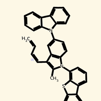 C=C/C=C\c1c(C)n(-c2cccc3c2sc2ccccc23)c2ccc(-n3c4ccccc4c4ccccc43)cc12